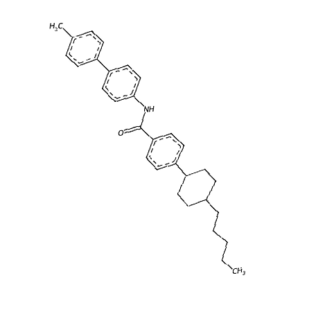 CCCCCC1CCC(c2ccc(C(=O)Nc3ccc(-c4ccc(C)cc4)cc3)cc2)CC1